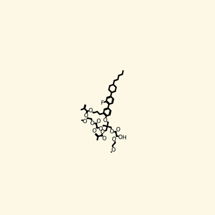 C=C(C)C(=O)OCCCc1cc(-c2ccc(C3CCC(CCCCC)CC3)cc2F)ccc1OCC(COC(=O)C(=C)C)(COC(=O)C(=O)OCCOC)COC(=O)C(O)OCCOC